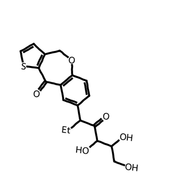 CCC(C(=O)C(O)C(O)CO)c1ccc2c(c1)C(=O)c1sccc1CO2